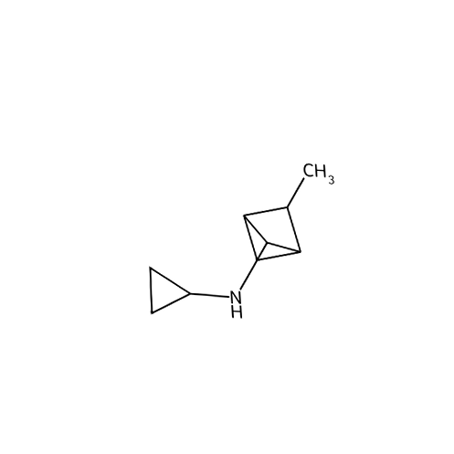 CC1C2CC1C2NC1CC1